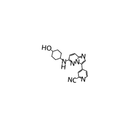 N#Cc1cc(-c2cnc3ccc(NC4CCC(O)CC4)nn23)ccn1